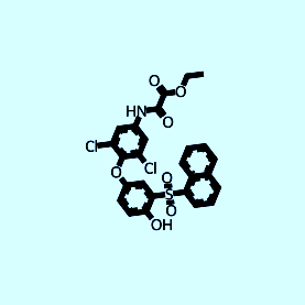 CCOC(=O)C(=O)Nc1cc(Cl)c(Oc2ccc(O)c(S(=O)(=O)c3cccc4ccccc34)c2)c(Cl)c1